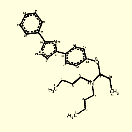 CCCCN(CCCC)C(CC)Oc1ccc(-c2csc(-c3ccccc3)n2)cc1